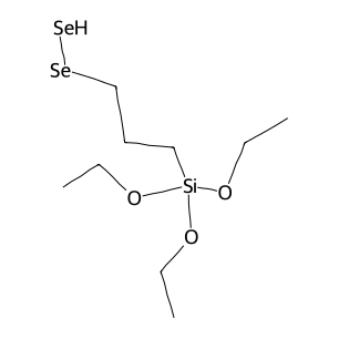 CCO[Si](CCC[Se][SeH])(OCC)OCC